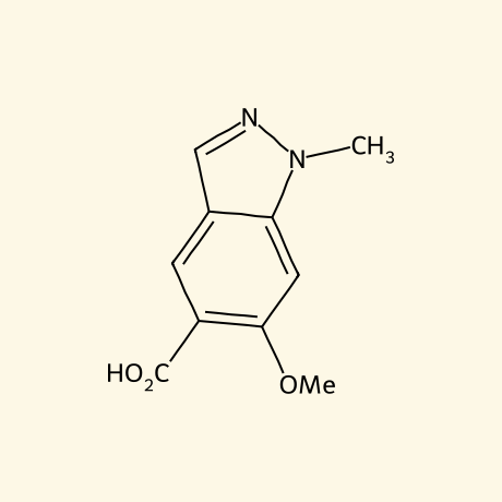 COc1cc2c(cnn2C)cc1C(=O)O